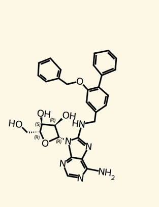 Nc1ncnc2c1nc(NCc1ccc(-c3ccccc3)c(OCc3ccccc3)c1)n2[C@@H]1O[C@H](CO)[C@@H](O)[C@H]1O